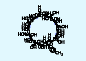 CN1CCN(CC2OC3OC(CCO)/C(O)=C(/O)C(O)OC(CCO)/C=C(/O)C(O)OC(CCO)/C(O)=C(\O)C(O)OC(CCO)/C(O)=C(/O)C(O)OC(CCO)/C(O)=C(/O)C(O)OC(CCO)/C(O)=C(\O)C(O)OC(CCO)/C(O)=C(\O)C(O)OC2C(O)C3O)CC1